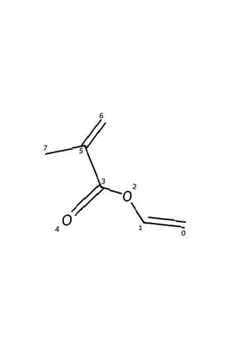 C=COC(=O)C(=C)C